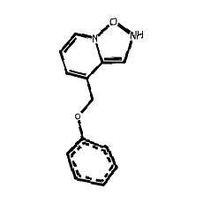 [c]1ccccc1OCC1=CC=CN2ONC=C12